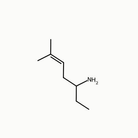 CCC(N)CC=C(C)C